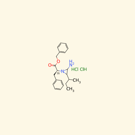 CCC(C)C1C(N)N1[C@@H](Cc1ccccc1)C(=O)OCc1ccccc1.Cl.Cl